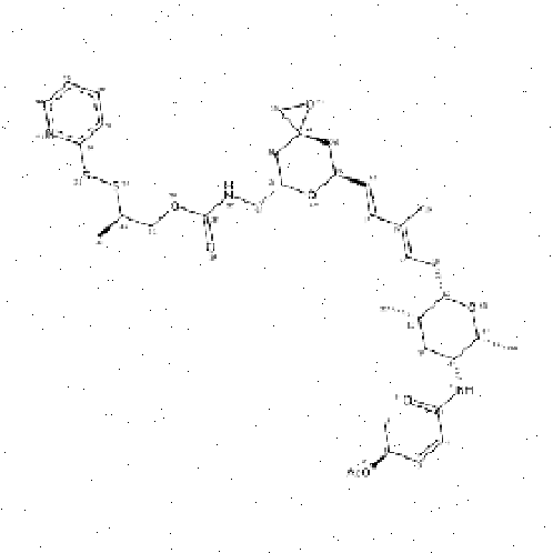 CC(=O)O[C@@H](C)/C=C\C(=O)N[C@@H]1C[C@H](C)[C@H](C/C=C(C)/C=C/[C@@H]2C[C@]3(CO3)C[C@@H](CNC(=O)OC[C@@H](C)SSc3ccccn3)O2)O[C@@H]1C